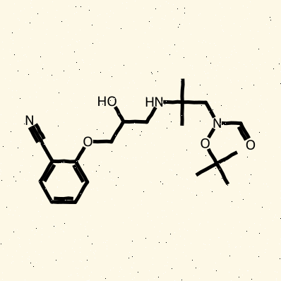 CC(C)(CN(C=O)OC(C)(C)C)NCC(O)COc1ccccc1C#N